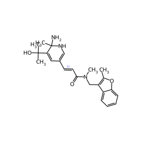 Cc1oc2ccccc2c1CN(C)C(=O)/C=C/C1=CNC(C)(N)C(C(C)(C)O)=C1